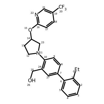 CCc1ccccc1-c1ccc(N2CCC(Oc3ccc(C(F)(F)F)cn3)C2)c(CO)c1